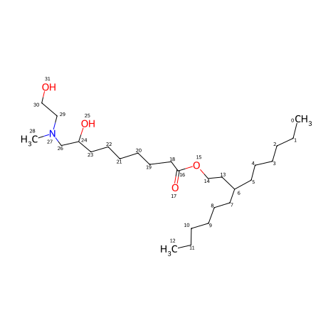 CCCCCCC(CCCCCC)CCOC(=O)CCCCCCC(O)CN(C)CCO